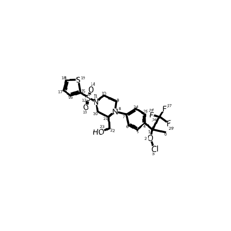 CC(OCl)(c1ccc(N2CCN(S(=O)(=O)c3cccs3)CC2CO)cc1)C(F)(F)F